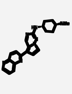 CN[C@H]1CC[C@H](Nc2ncc3c(-c4ccc5ncccc5n4)ccn3n2)CC1